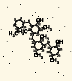 Cc1cccc(Cc2c(C)c(Cc3cc(C)cc(Cc4cc(C)ccc4O)c3C)cc(C)c2O)c1